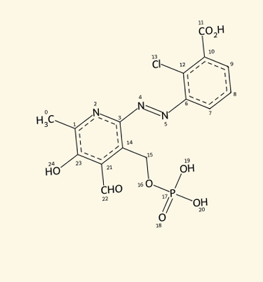 Cc1nc(N=Nc2cccc(C(=O)O)c2Cl)c(COP(=O)(O)O)c(C=O)c1O